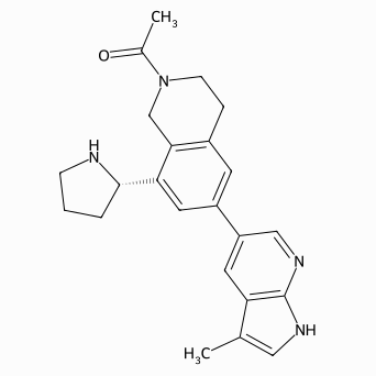 CC(=O)N1CCc2cc(-c3cnc4[nH]cc(C)c4c3)cc([C@@H]3CCCN3)c2C1